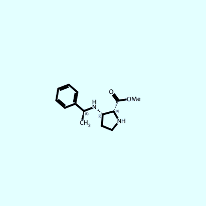 COC(=O)[C@@H]1NCC[C@@H]1N[C@@H](C)c1ccccc1